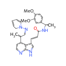 C=C(/C=N\N1C=CC=CC1)c1ccnc2[nH]cc(/C=C/C(=O)N[C@H](C)c3ccc(OC)c(OC)c3)c12